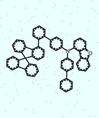 c1ccc(-c2ccc(N(c3ccc(-c4ccccc4-c4cccc5c4-c4ccccc4C54c5ccccc5-c5ccccc54)cc3)c3cccc4oc5ccccc5c34)cc2)cc1